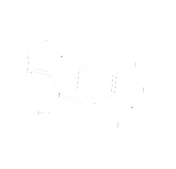 CC1(c2ccc(C(F)(F)F)c(F)c2)CON=C1C(=O)O